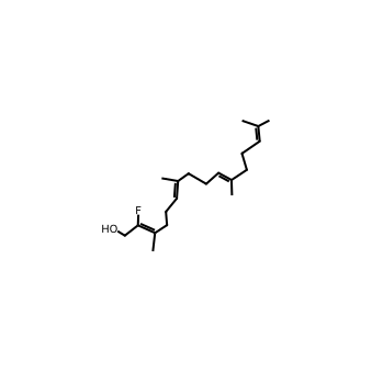 CC(C)=CCCC(C)=CCCC(C)=CCCC(C)=C(F)CO